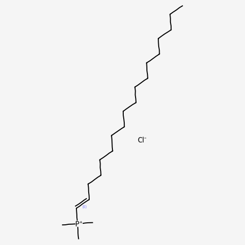 CCCCCCCCCCCCCCCC/C=C/[P+](C)(C)C.[Cl-]